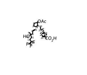 CC(=O)O[C@H]1CC[C@@H](/C=C/CC(C)(O)CCC(F)=C(F)F)[C@H]1CCSc1nc(C(=O)O)cs1